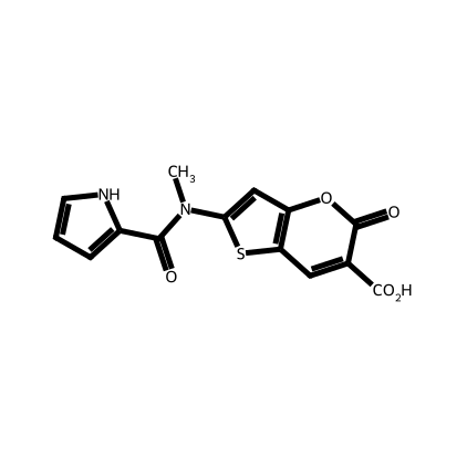 CN(C(=O)c1ccc[nH]1)c1cc2oc(=O)c(C(=O)O)cc2s1